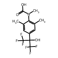 Cc1cc(C(O)(C(F)(F)F)C(F)(F)F)cc(C)c1N(C)C(=O)O